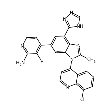 Cc1nc2c(-c3nnc[nH]3)cc(-c3ccnc(N)c3F)cc2n1-c1ccnc2c(Cl)cccc12